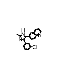 Cc1nc(-c2cccc(Cl)c2)c(-c2ccc3ncccc3c2)[nH]1